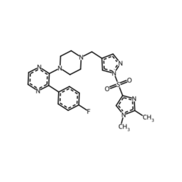 Cc1nc(S(=O)(=O)n2cc(CN3CCN(c4nccnc4-c4ccc(F)cc4)CC3)cn2)cn1C